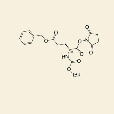 CC(C)(C)OC(=O)N[C@@H](CCC(=O)OCc1ccccc1)C(=O)ON1C(=O)CCC1=O